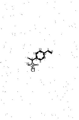 C=Cc1ccc(C(C)[Si](C)(C)Cl)cc1